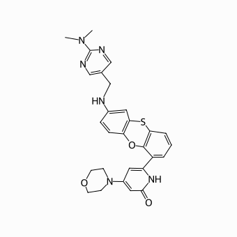 CN(C)c1ncc(CNc2ccc3c(c2)Sc2cccc(-c4cc(N5CCOCC5)cc(=O)[nH]4)c2O3)cn1